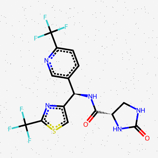 O=C1NC[C@@H](C(=O)N[C@H](c2ccc(C(F)(F)F)nc2)c2csc(C(F)(F)F)n2)N1